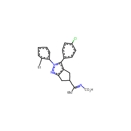 CCc1ccccc1-n1nc2c(c1-c1ccc(Cl)cc1)CC(C(=NC(=O)O)C(C)(C)C)C2